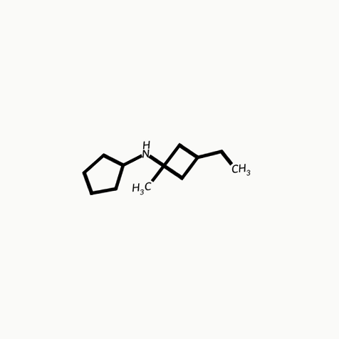 CCC1CC(C)(NC2CCCC2)C1